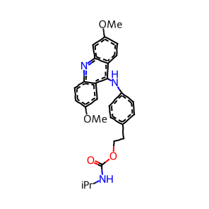 COc1ccc2c(Nc3ccc(CCOC(=O)NC(C)C)cc3)c3cc(OC)ccc3nc2c1